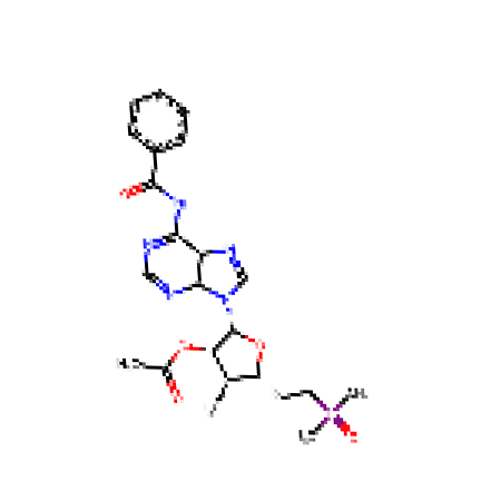 CC(=O)O[C@@H]1[C@H](C)[C@@H](CCP(C)(C)=O)O[C@H]1N1C=NC2C(NC(=O)c3ccccc3)=NC=NC21